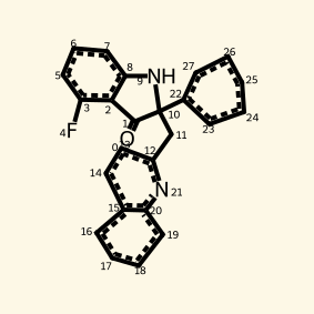 O=C1c2c(F)cccc2NC1(Cc1ccc2ccccc2n1)c1ccccc1